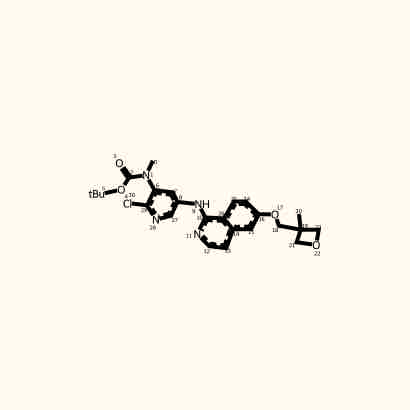 CN(C(=O)OC(C)(C)C)c1cc(Nc2nccc3cc(OCC4(C)COC4)ccc23)cnc1Cl